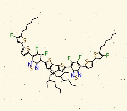 CCCCCCc1sc(-c2ccc(-c3c(F)c(F)c(-c4cc5c(s4)-c4sc(-c6c(F)c(F)c(-c7ccc(-c8cc(F)c(CCCCCC)s8)s7)c7nsnc67)cc4[Si]5(CC(CC)CCCC)CC(CC)CCCC)c4nsnc34)s2)cc1F